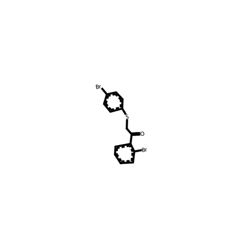 O=C(CSc1ccc(Br)cc1)c1ccccc1Br